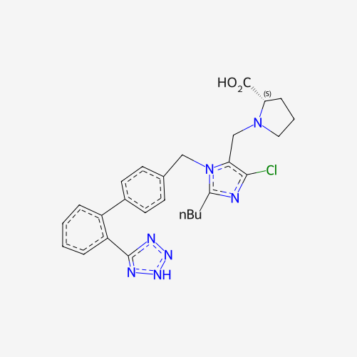 CCCCc1nc(Cl)c(CN2CCC[C@H]2C(=O)O)n1Cc1ccc(-c2ccccc2-c2nn[nH]n2)cc1